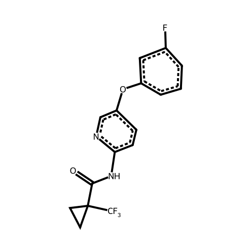 O=C(Nc1ccc(Oc2cccc(F)c2)cn1)C1(C(F)(F)F)CC1